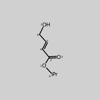 CC(C)OC(=O)C=CCO